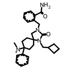 CN(C)C1(c2ccccc2)CCC2(CC1)CN(Cc1ccccc1C(N)=O)C(=O)N2CC1CCC1